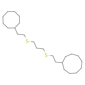 C1CCCCC(CCSCCCSCCC2CCCCCCC2)CCC1